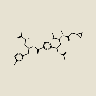 CC(=O)OC(CC(C(C)C)N(C)C(=O)CC1CC1)c1nc(C(=O)NC(Cc2nc(C)cs2)C[C@H](C)C(=O)O)cs1